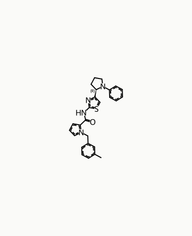 Cc1cccc(Cn2cccc2C(=O)Nc2nc([C@H]3CCCN3c3ccccc3)cs2)c1